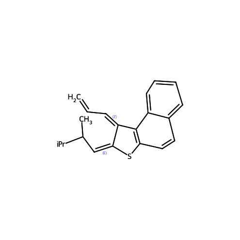 C=C/C=c1\c(=C/C(C)C(C)C)sc2ccc3ccccc3c12